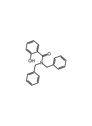 O=C(c1ccccc1O)N(Cc1ccccc1)Cc1ccccc1